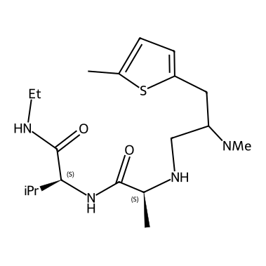 CCNC(=O)[C@@H](NC(=O)[C@H](C)NCC(Cc1ccc(C)s1)NC)C(C)C